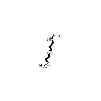 CNCC/C=N/CCSC